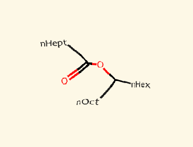 [CH2]CCCCCCC(=O)OC(CCCCCC)CCCCCCCC